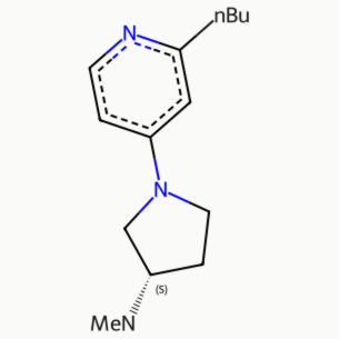 CCCCc1cc(N2CC[C@H](NC)C2)ccn1